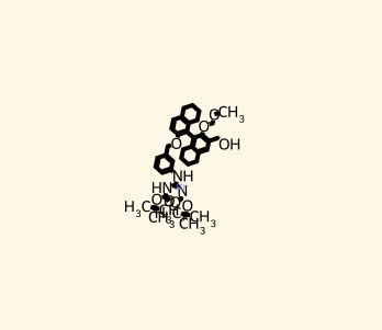 COCOc1c(CO)cc2c(c1-c1c(OCc3cccc(N/C(=N/C(=O)OC(C)(C)C)NC(=O)OC(C)(C)C)c3)ccc3c1CCCC3)CCCC2